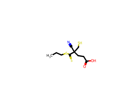 CCCSC(=S)C(C#N)(CS)CCC(=O)O